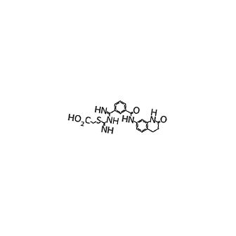 N=C(NC(=N)c1cccc(C(=O)Nc2ccc3c(c2)NC(=O)CC3)c1)SCC(=O)O